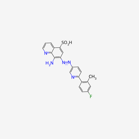 Cc1cc(F)ccc1-c1ccc(/N=N/c2cc(S(=O)(=O)O)c3cccnc3c2N)cn1